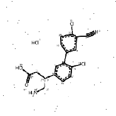 Cl.N#Cc1cc(-c2cc([C@H](CN)CC(=O)O)ccc2Cl)ccc1Cl